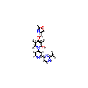 Cc1nc(COc2c(C)c(C)n(-c3ccnc(-c4ccnc(C(C)C)n4)c3)c(=O)c2C)co1